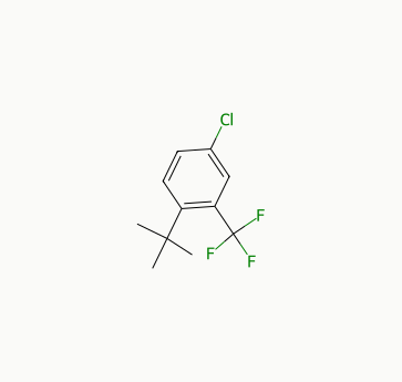 CC(C)(C)c1ccc(Cl)cc1C(F)(F)F